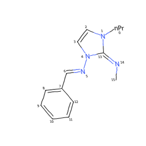 CCCn1ccn(N=Cc2ccccc2)c1=NC